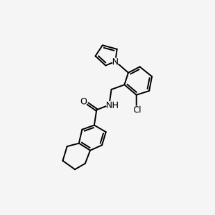 O=C(NCc1c(Cl)cccc1-n1cccc1)c1ccc2c(c1)CCCC2